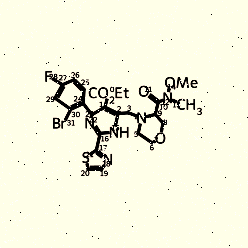 CCOC(=O)C1=C(CN2CCOCC2C(=O)N(C)OC)NC(c2nccs2)=NC1c1ccc(F)cc1Br